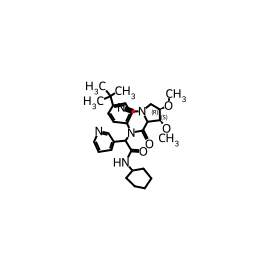 CO[C@@H]1CN(C#N)C(C(=O)N(c2ccc(C(C)(C)C)cc2)C(C(=O)NC2CCCCC2)c2cccnc2)[C@@H]1OC